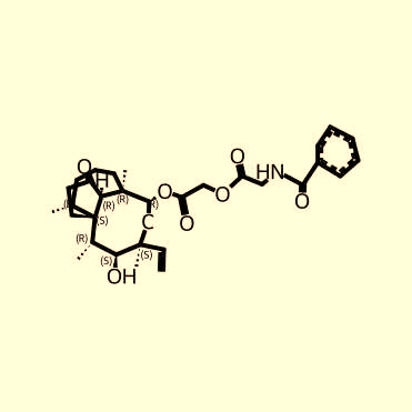 C=C[C@]1(C)C[C@@H](OC(=O)COC(=O)CNC(=O)c2ccccc2)[C@]2(C)CCC[C@@H](C)[C@@]3(CCC(=O)[C@@H]23)[C@@H](C)[C@@H]1O